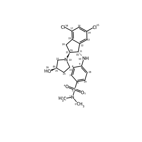 CN(C)S(=O)(=O)c1ccc(N[C@H]2c3cc(Cl)cc(Cl)c3C[C@@H]2N2CC[C@@H](O)C2)cc1